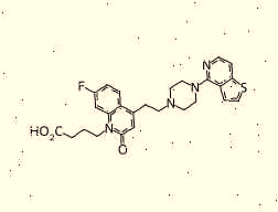 O=C(O)CCCn1c(=O)cc(CCN2CCN(c3nccc4sccc34)CC2)c2ccc(F)cc21